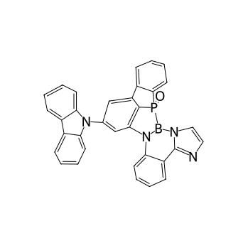 O=P12B3N(c4ccccc4-c4nccn43)c3cc(-n4c5ccccc5c5ccccc54)cc(c31)-c1ccccc12